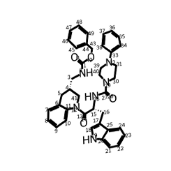 O=C(NC[C@H]1Cc2ccccc2N(C(=O)[C@@H](Cc2c[nH]c3ccccc23)NC(=O)N2CCN(c3ccccc3)CC2)C1)OCc1ccccc1